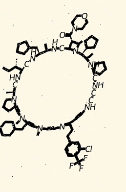 CC[C@H](C)[C@H]1CN[C@@H](CC2CCCC2)C(C)NCC2[C@@H](C(=O)N3CCOCC3)C(C)N2[C@@H](C2CCCC2)C(C)NC2(CCCC2)CNCCNC=CC(CCc2ccc(C(F)(F)F)c(Cl)c2)=NC=CN(C)C=C(CC2CCCCC2)N(C)C=C2CCCN2[C@@H](C)CN1